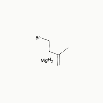 C=C(C)CCBr.[MgH2]